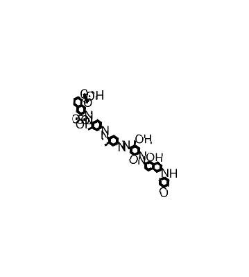 COc1ccc(Nc2ccc3c(O)c(N=Nc4cc(CO)c(N=Nc5ccc(N=Nc6ccc(N=Nc7cc8c(S(=O)(=O)O)cccc8cc7S(=O)(=O)O)c(C)c6)c(C)c5)cc4OC)ccc3c2)cc1